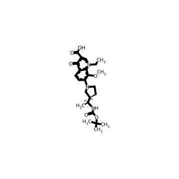 CCn1cc(C(=O)O)c(=O)c2ccc(N3CC[C@@H]([C@H](C)NC(=O)OC(C)(C)C)C3)c(OC)c21